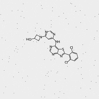 OC1CN(c2cc(Nc3ncnc4nc(-c5c(Cl)cccc5Cl)sc34)ncn2)C1